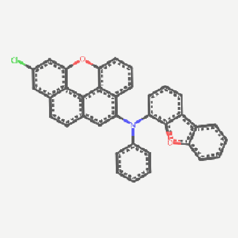 Clc1cc2c3c(ccc4cc(N(c5ccccc5)c5cccc6c5oc5ccccc56)c5cccc(c5c43)O2)c1